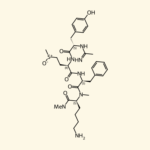 CNC(=O)[C@H](CCCCN)N(C)C(=O)[C@H](Cc1ccccc1)NC(=O)[C@@H](CC[S+](C)[O-])NC(=O)[C@H](Cc1ccc(O)cc1)NC(C)=N